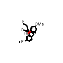 CCCc1ccc2c(c1)C1(NC(=O)N(CCF)C1=O)C1(CCC(OC)CC1)C2